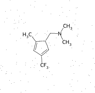 CC1=CC(C(F)(F)F)=CC1CN(C)C